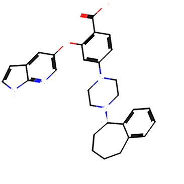 O=C(O)c1ccc(N2CCN([C@@H]3CCCCc4ccccc43)CC2)cc1Oc1cnc2[nH]ccc2c1